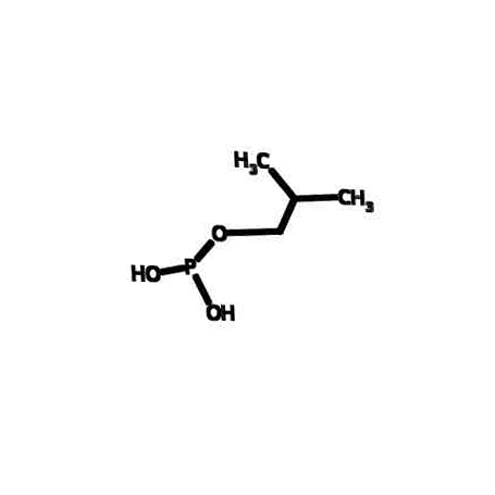 CC(C)COP(O)O